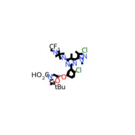 Cc1c(-c2c(C)c(Cl)nn2C)nc(-c2cc(OC[C@@H](CN(C)C(=O)O)O[Si](C)(C)C(C)(C)C)ccc2Cl)nc1N1CC2(CN(CC(F)(F)F)C2)C1